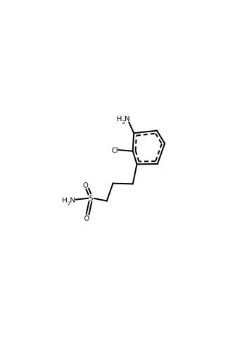 Nc1cccc(CCCS(N)(=O)=O)c1Cl